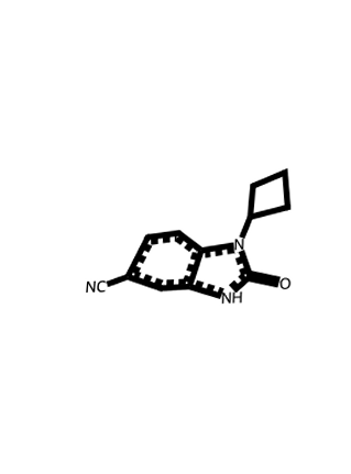 N#Cc1ccc2c(c1)[nH]c(=O)n2C1CCC1